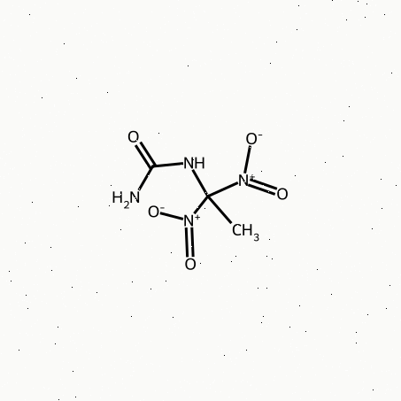 CC(NC(N)=O)([N+](=O)[O-])[N+](=O)[O-]